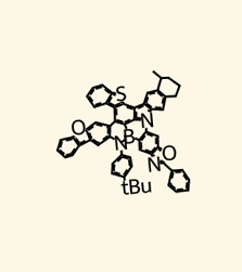 CC1CCCc2cc3c(cc21)c1c2sc4ccccc4c2c2c4c1n3-c1cc3oc(-c5ccccc5)nc3cc1B4N(c1ccc(C(C)(C)C)cc1)c1cc3c(cc1-2)oc1ccccc13